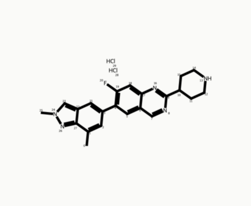 Cc1cc(-c2cc3cnc(C4CCNCC4)nc3cc2F)cc2cn(C)nc12.Cl.Cl